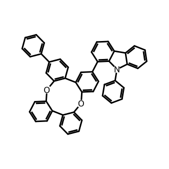 c1ccc(-c2ccc3c(c2)Oc2ccccc2-c2ccccc2Oc2ccc(-c4cccc5c6ccccc6n(-c6ccccc6)c45)cc2-3)cc1